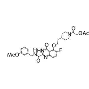 COc1cccc(CNC(=O)c2nc3ccc(F)c(OCCC4CCN(C(=O)COC(C)=O)CC4)c3c(=O)[nH]2)c1